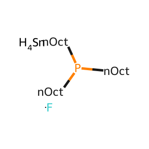 CCCCCCCCP(CCCCCCCC)CCCCCCCC.[F].[SnH4]